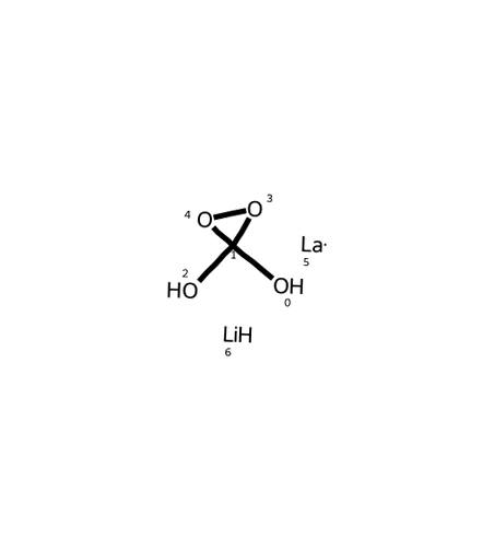 OC1(O)OO1.[La].[LiH]